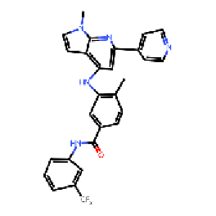 Cc1ccc(C(=O)Nc2cccc(C(F)(F)F)c2)cc1Nc1cc(-c2ccncc2)nc2c1ccn2C